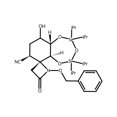 CC(C)[Si]1(C(C)C)O[C@@H]2[C@@H](O[Si](C(C)C)(C(C)C)O1)C(O)C[C@H](C#N)[C@]21CC(=O)N1OCc1ccccc1